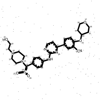 N#Cc1cc(-c2ccnc(Nc3ccc(C(N4CCN(CCO)CC4)=S(=O)=O)cc3)n2)ccc1OC1CCOCC1